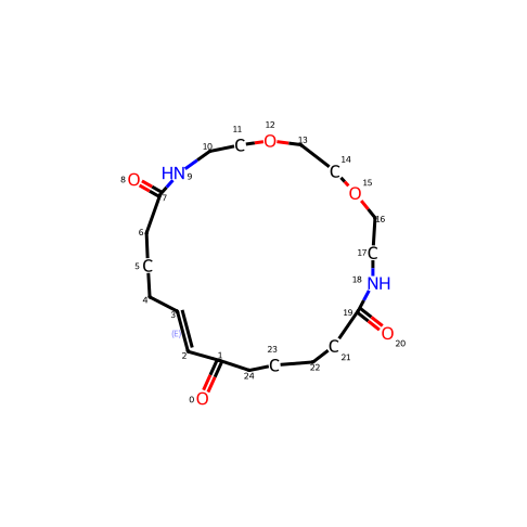 O=C1/C=C/CCCC(=O)NCCOCCOCCNC(=O)CCCC1